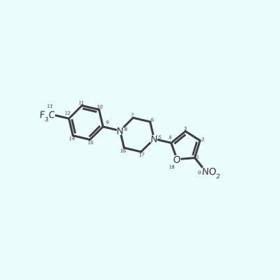 O=[N+]([O-])c1ccc(N2CCN(c3ccc(C(F)(F)F)cc3)CC2)o1